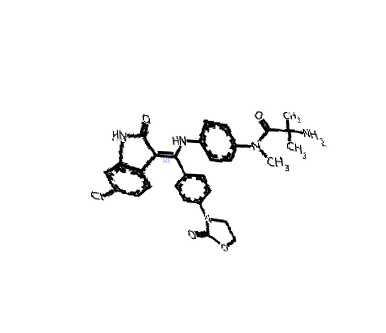 CN(C(=O)C(C)(C)N)c1ccc(N/C(=C2\C(=O)Nc3cc(Cl)ccc32)c2ccc(N3CCOC3=O)cc2)cc1